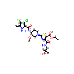 CCOC(=O)c1sc(N2CC[C@@H](NC(=O)c3[nH]c(C)c(Cl)c3Cl)[C@@H](OC)C2)nc1C(=O)NCC(C)(C)O